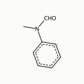 CN(C=O)c1[c]cccc1